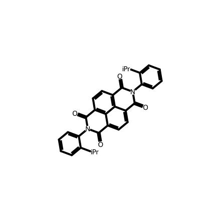 CC(C)c1ccccc1N1C(=O)c2ccc3c4c(ccc(c24)C1=O)C(=O)N(c1ccccc1C(C)C)C3=O